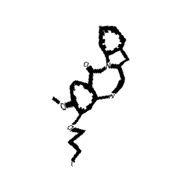 COc1cc2c(cc1OCCCI)N=CC1Cc3ccccc3N1C2=O